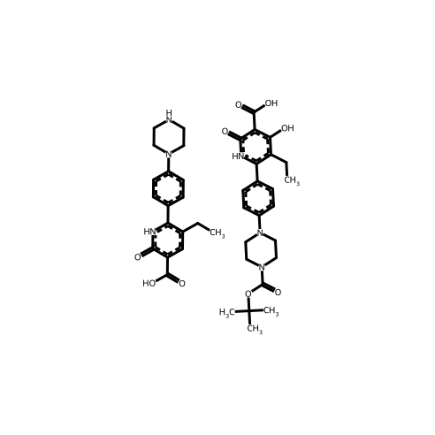 CCc1c(-c2ccc(N3CCN(C(=O)OC(C)(C)C)CC3)cc2)[nH]c(=O)c(C(=O)O)c1O.CCc1cc(C(=O)O)c(=O)[nH]c1-c1ccc(N2CCNCC2)cc1